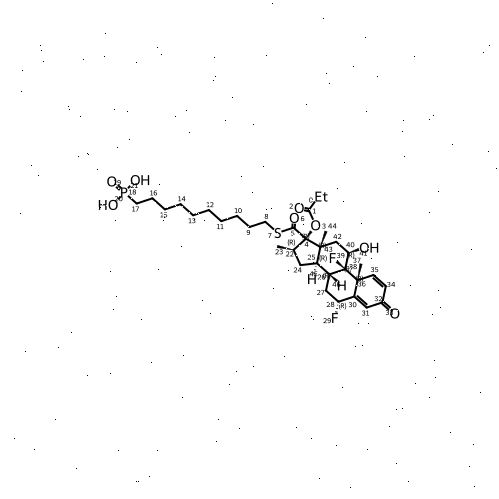 CCC(=O)O[C@]1(C(=O)SCCCCCCCCCCP(=O)(O)O)[C@H](C)C[C@@H]2[C@H]3C[C@@H](F)C4=CC(=O)C=C[C@@]4(C)[C@@]3(F)[C@H](O)C[C@]21C